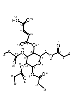 CCC(=O)OCC1OC(OC(=O)CC)C(OC(=O)CC)C(OC(=O)CC)C1OC(=O)/C=C/C(=O)O